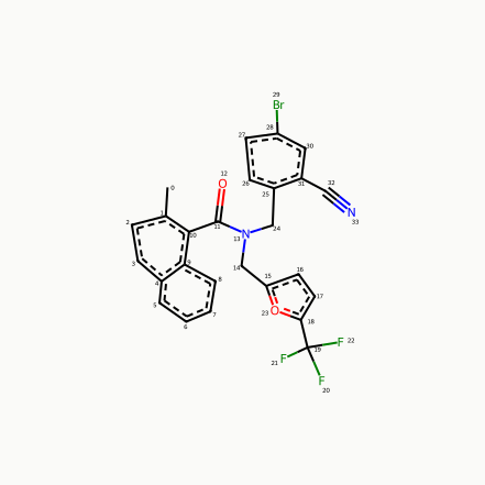 Cc1ccc2ccccc2c1C(=O)N(Cc1ccc(C(F)(F)F)o1)Cc1ccc(Br)cc1C#N